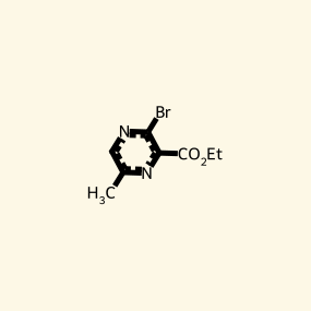 CCOC(=O)c1nc(C)cnc1Br